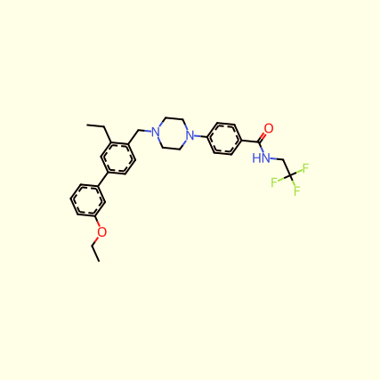 CCOc1cccc(-c2ccc(CN3CCN(c4ccc(C(=O)NCC(F)(F)F)cc4)CC3)c(CC)c2)c1